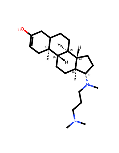 CN(C)CCCN(C)[C@H]1CC[C@H]2[C@@H]3CCC4CC(O)=CC[C@]4(C)[C@H]3CC[C@]12C